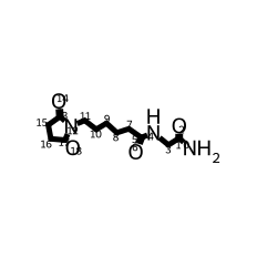 NC(=O)CNC(=O)CCCCCN1C(=O)CCC1=O